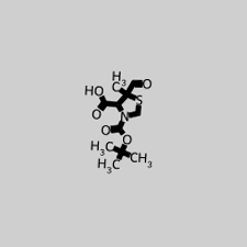 CC(C)(C)OC(=O)N1CSC(C)(C=O)C1C(=O)O